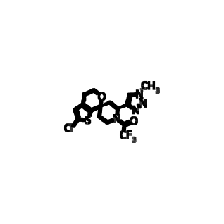 Cn1cc([C@@H]2C[C@]3(CCN2C(=O)C(F)(F)F)OCCc2cc(Cl)sc23)nn1